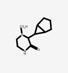 O=C1NCCN(C(=O)O)C1C1C2CCCC21